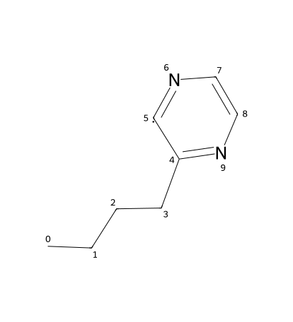 CCCCc1[c]nccn1